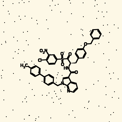 Cc1ccc(-c2ccc(Cn3cc(C(=O)N[C@@H](Cc4ccc(OCc5ccccc5)cc4)C(=O)S(=O)(=O)c4ccc(Cl)c([N+](=O)[O-])c4)c4cccnc43)cc2)cc1